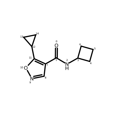 O=C(NC1CCC1)c1cnoc1C1CC1